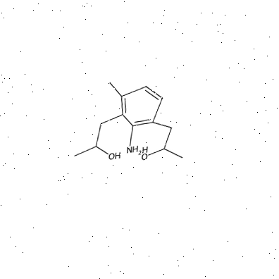 Cc1ccc(CC(C)O)c(N)c1CC(C)O